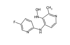 Cc1nccc(Nc2ccc(F)cn2)c1NO